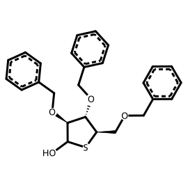 OC1S[C@H](COCc2ccccc2)[C@@H](OCc2ccccc2)[C@@H]1OCc1ccccc1